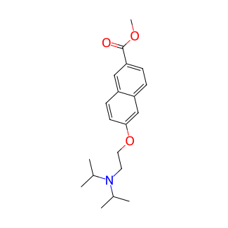 COC(=O)c1ccc2cc(OCCN(C(C)C)C(C)C)ccc2c1